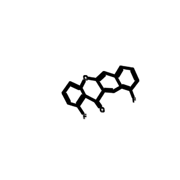 O=c1c2cc3c(F)cccc3cc2oc2cccc(F)c12